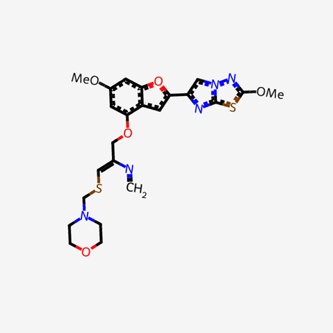 C=N/C(=C\SCN1CCOCC1)COc1cc(OC)cc2oc(-c3cn4nc(OC)sc4n3)cc12